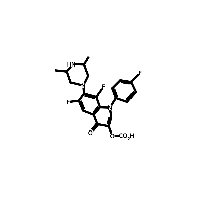 CC1CN(c2c(F)cc3c(=O)c(OC(=O)O)cn(-c4ccc(F)cc4)c3c2F)CC(C)N1